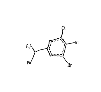 FC(F)(F)C(Br)c1cc(Cl)c(Br)c(Br)c1